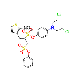 O=[N+]([O-])c1sccc1CC(CS(=O)(=O)Oc1ccccc1)S(=O)(=O)Oc1ccc(N(CCCl)CCCl)cc1